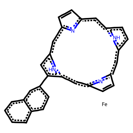 C1=Cc2cc3cc(-c4ccc5ccccc5c4)c(cc4nc(cc5ccc(cc1n2)[nH]5)C=C4)[nH]3.[Fe]